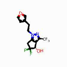 O[C@H]1c2c(C(F)(F)F)nn(CCc3ccoc3)c2CC1(F)F